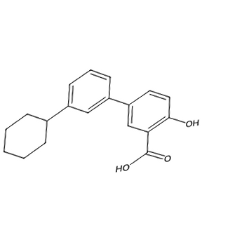 O=C(O)c1cc(-c2cccc(C3CCCCC3)c2)ccc1O